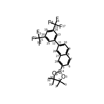 CC1(C)OB(c2ccc3ccc(-c4cc(C(F)(F)F)cc(C(F)(F)F)c4)cc3c2)OC1(C)C